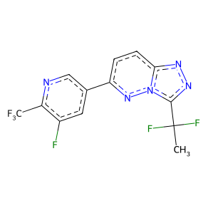 CC(F)(F)c1nnc2ccc(-c3cnc(C(F)(F)F)c(F)c3)nn12